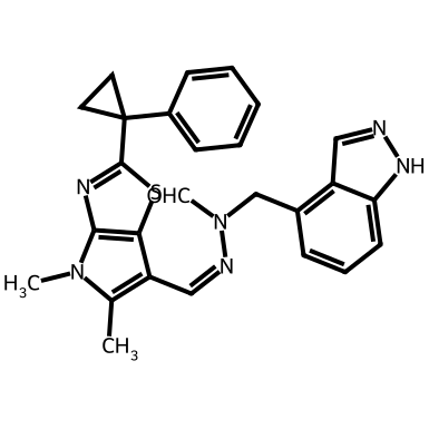 Cc1c(/C=N\N(C=O)Cc2cccc3[nH]ncc23)c2sc(C3(c4ccccc4)CC3)nc2n1C